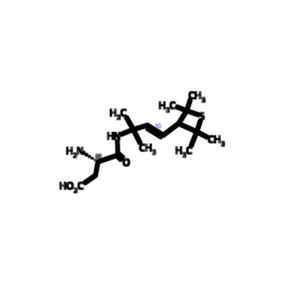 CC(C)(/C=C/C1C(C)(C)SC1(C)C)NC(=O)[C@@H](N)CC(=O)O